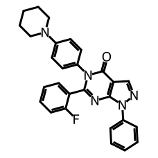 O=c1c2cnn(-c3ccccc3)c2nc(-c2ccccc2F)n1-c1ccc(N2CCCCC2)cc1